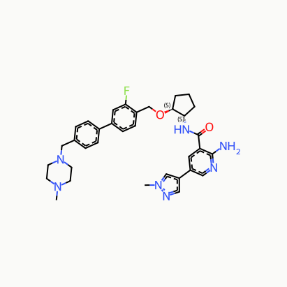 CN1CCN(Cc2ccc(-c3ccc(CO[C@H]4CCC[C@@H]4NC(=O)c4cc(-c5cnn(C)c5)cnc4N)c(F)c3)cc2)CC1